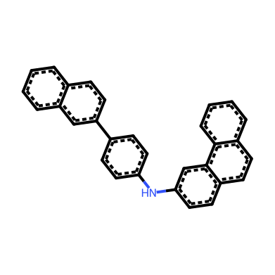 c1ccc2cc(-c3ccc(Nc4ccc5ccc6ccccc6c5c4)cc3)ccc2c1